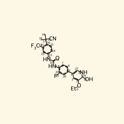 CCOC1=CC(c2ccc(NC(=O)Nc3ccc(C(C)(C)C#N)c(C(F)(F)F)c3)c(F)c2)=CNC1O